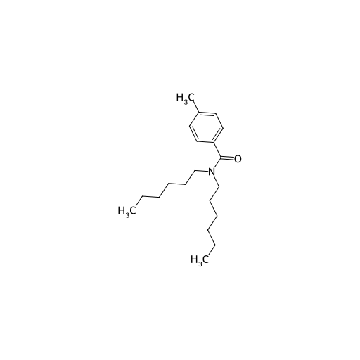 CCCCCCN(CCCCCC)C(=O)c1ccc(C)cc1